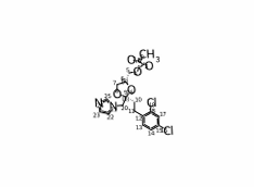 CS(=O)(=O)OC[C@H]1CO[C@](CCc2ccc(Cl)cc2Cl)(Cn2ccnc2)O1